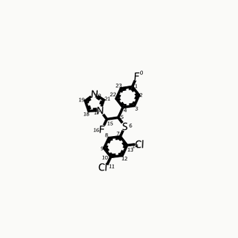 Fc1ccc(C(Sc2ccc(Cl)cc2Cl)C(F)n2ccnc2)cc1